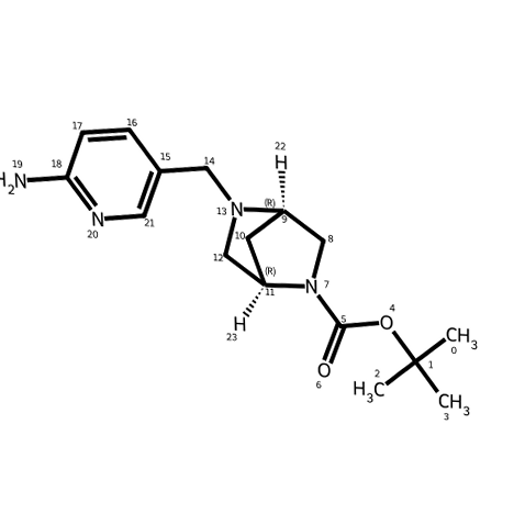 CC(C)(C)OC(=O)N1C[C@H]2C[C@@H]1CN2Cc1ccc(N)nc1